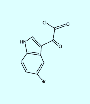 O=C(Cl)C(=O)c1c[nH]c2ccc(Br)cc12